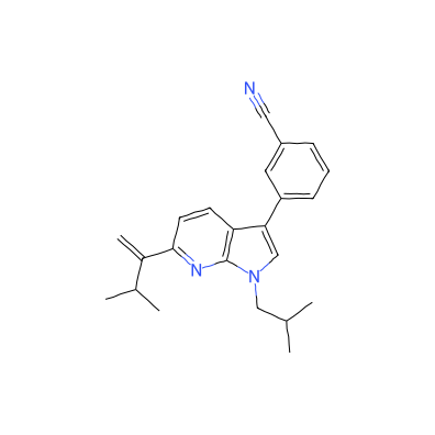 C=C(c1ccc2c(-c3cccc(C#N)c3)cn(CC(C)C)c2n1)C(C)C